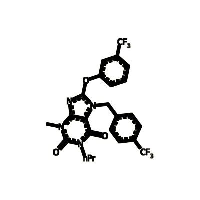 CCCn1c(=O)c2c(nc(Oc3cccc(C(F)(F)F)c3)n2Cc2ccc(C(F)(F)F)cc2)n(C)c1=O